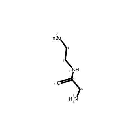 CCCCC[CH]NC(=O)CN